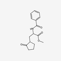 COC(=O)C(CC1CCCC1=O)NC(=O)c1ccccc1